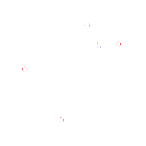 Cc1cc(O)c(C=O)cc1[N+](=O)[O-]